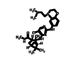 CNC(=O)[C@H]1C[C@H]2C[C@H](C2(C)C)[C@@]1(C)Nc1nc(Nc2ccc3c(c2)N(CCN(C)C)CCO3)ncc1Cl